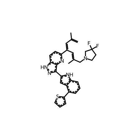 C=C(C)/C=C(\C=C(/C)CN1CCC(F)(F)C1)c1ccc2[nH]nc(-c3cc4c(-c5cccs5)cccc4[nH]3)c2n1